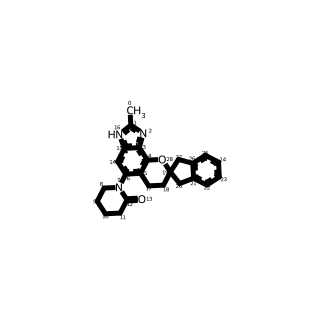 Cc1nc2c3c(c(N4CCCCC4=O)cc2[nH]1)CCC1(Cc2ccccc2C1)O3